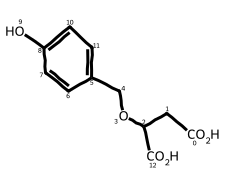 O=C(O)CC(OCc1ccc(O)cc1)C(=O)O